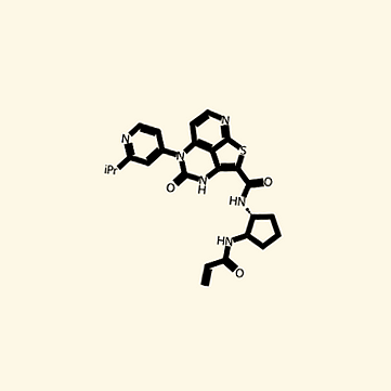 C=CC(=O)NC1CCC[C@H]1NC(=O)c1sc2nccc3c2c1NC(=O)N3c1ccnc(C(C)C)c1